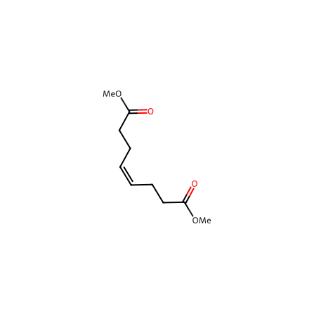 COC(=O)CC/C=C\CCC(=O)OC